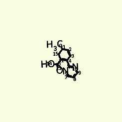 CC1C=CC(c2ncccn2)=C(C(=O)O)C1